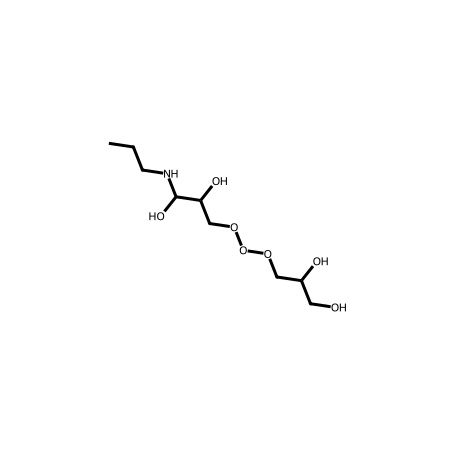 CCCNC(O)C(O)COOOCC(O)CO